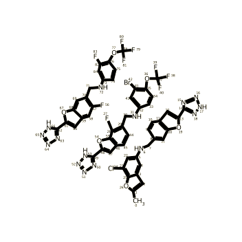 Cc1cc2cc(NCc3ccc4cc(-c5nn[nH]n5)oc4c3)cc(Cl)c2o1.Fc1c(CNc2ccc(OC(F)(F)F)c(Br)c2)ccc2cc(-c3nnn[nH]3)oc12.Fc1cc2cc(-c3nnn[nH]3)oc2cc1CNc1ccc(OC(F)(F)F)c(F)c1